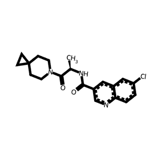 C[C@@H](NC(=O)c1cnc2ccc(Cl)cc2c1)C(=O)N1CCC2(CC1)CC2